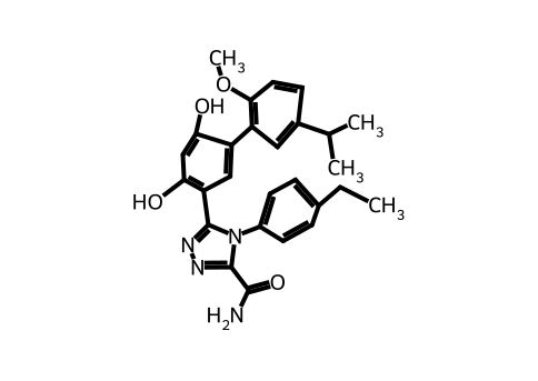 CCc1ccc(-n2c(C(N)=O)nnc2-c2cc(-c3cc(C(C)C)ccc3OC)c(O)cc2O)cc1